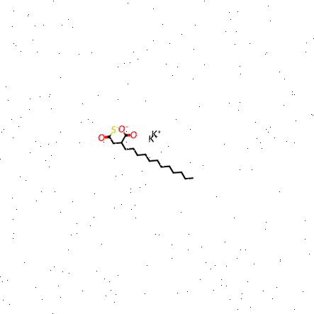 CCCCCCCCCCCCC(CC(=O)[S-])C(=O)[O-].[K+].[K+]